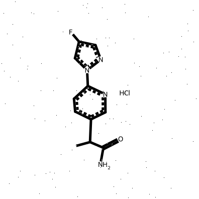 CC(C(N)=O)c1ccc(-n2cc(F)cn2)nc1.Cl